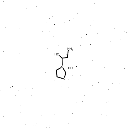 Cl.NCC(O)N1CCSC1